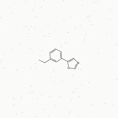 CCc1cccc(-c2cnco2)c1